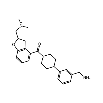 C[SiH](C)CC1Cc2c(cccc2C(=O)N2CCC(c3cccc(CN)c3)CC2)O1